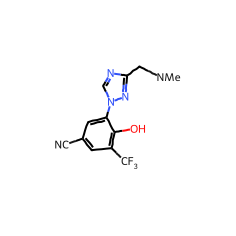 CNCc1ncn(-c2cc(C#N)cc(C(F)(F)F)c2O)n1